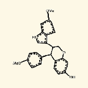 COc1ccc(C2c3ccc(O)cc3OCC2c2c[nH]c3cc(OC)ccc23)cc1